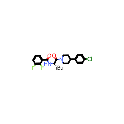 CC[C@@H](C)[C@@H](NC(=O)c1cccc(F)c1F)C(=O)N1CCC(c2ccc(Cl)cc2)CC1